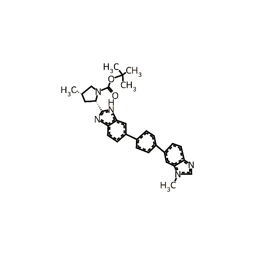 C[C@H]1C[C@@H](c2nc3ccc(-c4ccc(-c5ccc6ncn(C)c6c5)cc4)cc3[nH]2)N(C(=O)OC(C)(C)C)C1